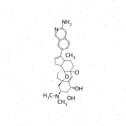 CN(C)[C@H]1C[C@@]23CC[C@]4(O2)C2CC=C(c5ccc6cc(N)ncc6c5)[C@@]2(C)CCC4(Cl)C=C3[C@@H](O)[C@@H]1O